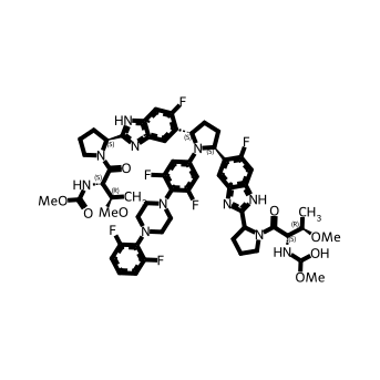 COC(=O)N[C@H](C(=O)N1CCC[C@H]1c1nc2cc([C@@H]3CC[C@@H](c4cc5nc(C6CCCN6C(=O)[C@@H](NC(O)OC)[C@@H](C)OC)[nH]c5cc4F)N3c3cc(F)c(N4CCN(c5c(F)cccc5F)CC4)c(F)c3)c(F)cc2[nH]1)[C@@H](C)OC